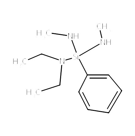 CCN(CC)[Si](NC)(NC)c1ccccc1